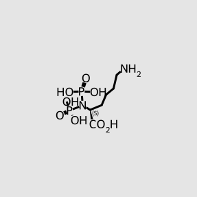 NCCCC[C@@H](C(=O)O)N(P(=O)(O)O)P(=O)(O)O